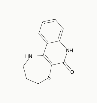 O=c1[nH]c2ccccc2c2c1SCCCN2